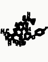 Cc1n[nH]c(C)c1-c1ccc2c(Nc3cc(Oc4ccc(F)cc4)cc(S(N)(=O)=O)c3)c(S(=O)(=O)NC3CC3)cnc2c1